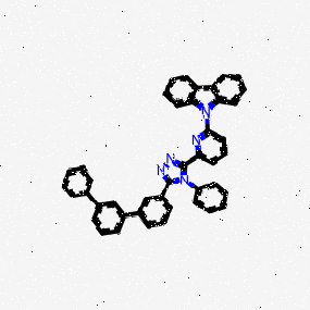 c1ccc(-c2cccc(-c3cccc(-c4nnc(-c5cccc(-n6c7ccccc7c7ccccc76)n5)n4-c4ccccc4)c3)c2)cc1